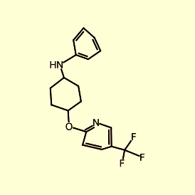 FC(F)(F)c1ccc(OC2CCC(Nc3ccccc3)CC2)nc1